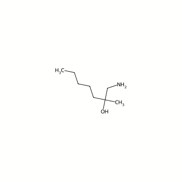 CCCCCC(C)(O)CN